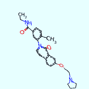 CCNC(=O)c1ccc(C)c(-n2ccc3ccc(OCCN4CCCC4)cc3c2=O)c1